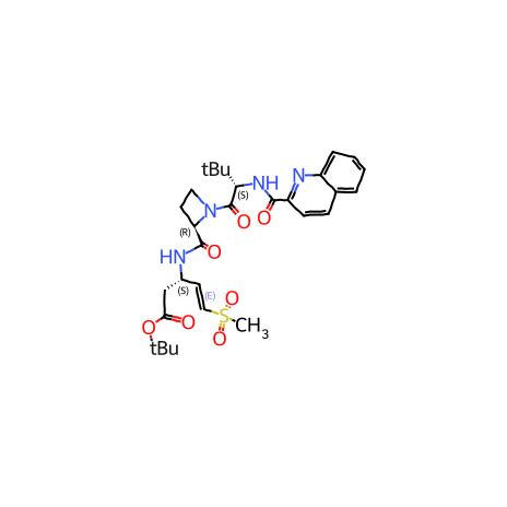 CC(C)(C)OC(=O)C[C@@H](/C=C/S(C)(=O)=O)NC(=O)[C@H]1CCN1C(=O)[C@@H](NC(=O)c1ccc2ccccc2n1)C(C)(C)C